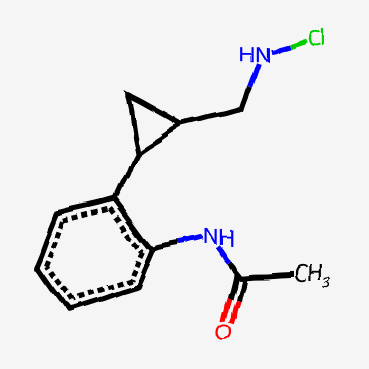 CC(=O)Nc1ccccc1C1CC1CNCl